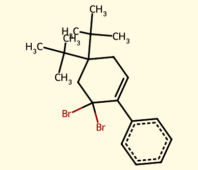 CC(C)(C)C1(C(C)(C)C)CC=C(c2ccccc2)C(Br)(Br)C1